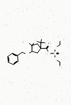 CCOP(=O)(NC(=O)C12CC(OCc3ccccc3)C(C)(C1)OC2(C)C)OCC